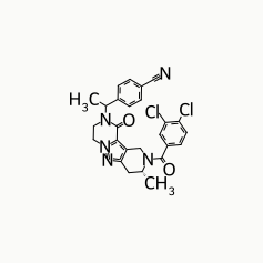 CC(c1ccc(C#N)cc1)N1CCn2nc3c(c2C1=O)CN(C(=O)c1ccc(Cl)c(Cl)c1)[C@H](C)C3